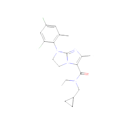 CCc1nc2n(c1C(=O)N(CC1CC1)CC(F)(F)F)CCN2c1c(C)cc(Cl)cc1Cl